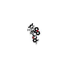 Cc1cc(C)nc(OC(C(=O)O)C2(c3ccccc3)NCC(=O)N(Cc3c(F)ccc(F)c3F)c3ccccc32)n1